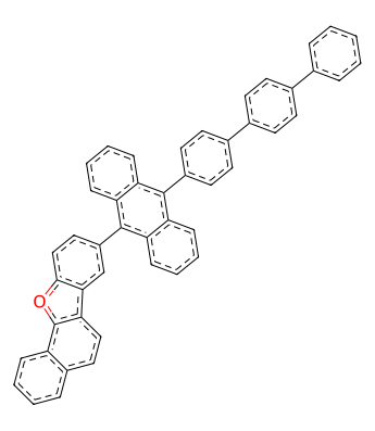 c1ccc(-c2ccc(-c3ccc(-c4c5ccccc5c(-c5ccc6oc7c8ccccc8ccc7c6c5)c5ccccc45)cc3)cc2)cc1